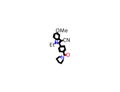 CCn1c(-c2ccc(C(=O)N3CCCCC3)cc2)c(C#N)c2cc(OC)ccc21